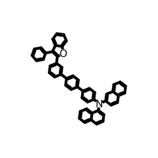 c1ccc(-c2c(-c3cccc(-c4ccc(-c5ccc(N(c6ccc7ccccc7c6)c6cccc7ccccc67)cc5)cc4)c3)oc3ccccc23)cc1